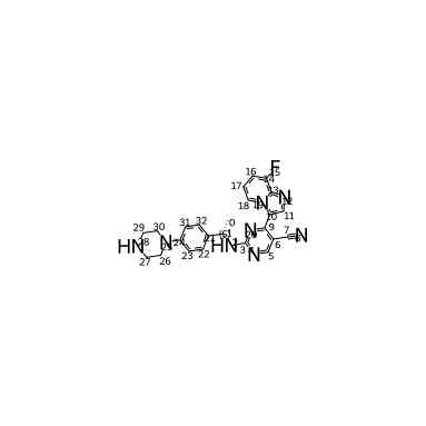 C[C@H](Nc1ncc(C#N)c(-c2cnc3c(F)cccn23)n1)c1ccc(N2CCNCC2)cc1